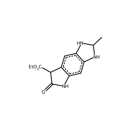 CCOC(=O)C1C(=O)Nc2cc3c(cc21)NC(C)N3